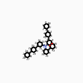 c1ccc(-c2ccc(-c3cccc(N(c4cccc(-c5ccc(-c6ccccc6)cc5)c4)c4ccccc4-c4ccccc4)c3)cc2)cc1